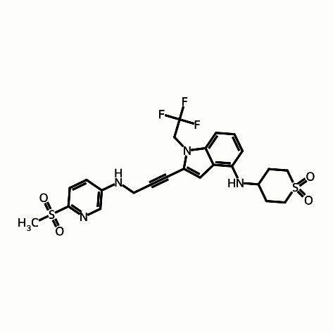 CS(=O)(=O)c1ccc(NCC#Cc2cc3c(NC4CCS(=O)(=O)CC4)cccc3n2CC(F)(F)F)cn1